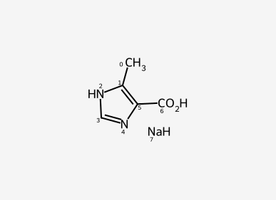 Cc1[nH]cnc1C(=O)O.[NaH]